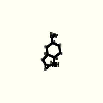 CCCC1CCC2NOCC2C1